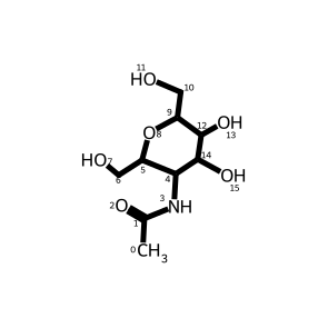 CC(=O)NC1C(CO)OC(CO)C(O)C1O